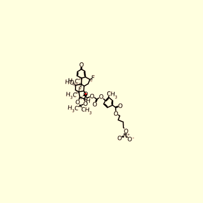 Cc1cc(C(=O)OCCCCO[N+](=O)[O-])ccc1OC(=O)OCC(=O)[C@@]12OC(C)(C)O[C@@H]1CC1C3C[C@H](F)C4=CC(=O)C=C[C@]4(C)[C@@]3(F)[C@@H](O)C[C@@]12C